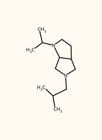 CC(C)CN1CC2CCN(C(C)C)C2C1